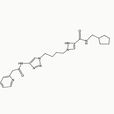 O=C(Cc1ccccn1)Nc1cn(CCCCn2cc(C(=O)NCC3CCCC3)[nH]2)nn1